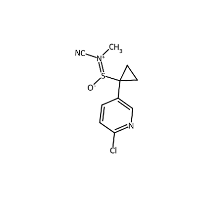 C[N+](C#N)=S([O-])C1(c2ccc(Cl)nc2)CC1